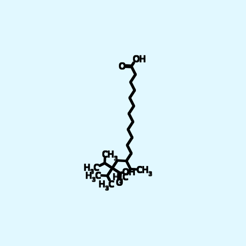 CC(C)C(CCCCCCCCCCCC(=O)O)CC(C(=O)O)(C(C)C)C(C)C